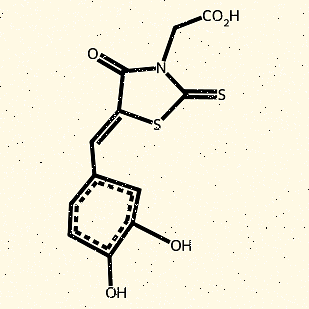 O=C(O)CN1C(=O)C(=Cc2ccc(O)c(O)c2)SC1=S